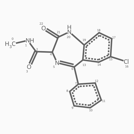 CNC(=O)C1N=C(c2ccccc2)c2cc(Cl)ccc2NC1=O